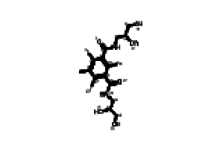 Cc1c(I)c(C(=O)NCC(O)CO)c(I)c(C(=O)NCC(O)CO)c1I